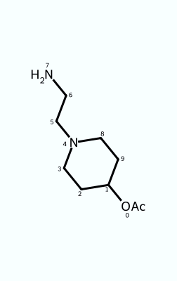 CC(=O)OC1CCN(CCN)CC1